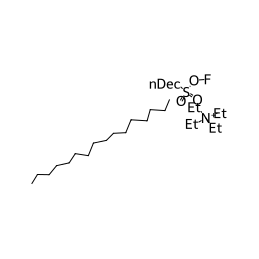 CCCCCCCCCCCCCCCC.CCCCCCCCCCS(=O)(=O)OF.CC[N+](CC)(CC)CC